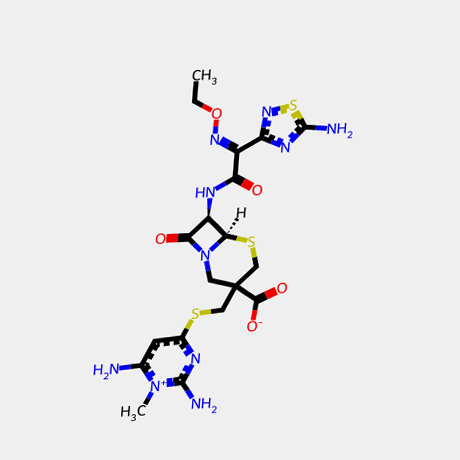 CCON=C(C(=O)N[C@@H]1C(=O)N2CC(CSc3cc(N)[n+](C)c(N)n3)(C(=O)[O-])CS[C@H]12)c1nsc(N)n1